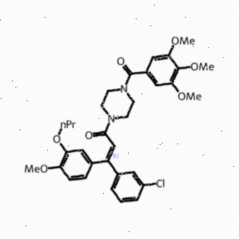 CCCOc1cc(/C(=C\C(=O)N2CCN(C(=O)c3cc(OC)c(OC)c(OC)c3)CC2)c2cccc(Cl)c2)ccc1OC